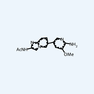 COc1cc(-c2ccc3nc(NC(C)=O)cn3c2)cnc1N